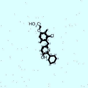 Cc1cc(OCC(=O)O)c(C)c(Cl)c1Cc1ccc(O)c(C2CCCCC2)n1